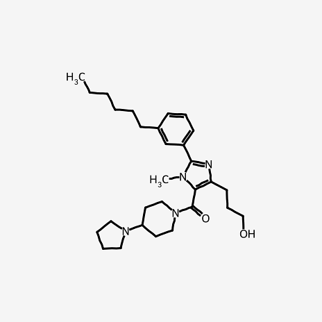 CCCCCCc1cccc(-c2nc(CCCO)c(C(=O)N3CCC(N4CCCC4)CC3)n2C)c1